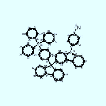 N#Cc1ccc(-n2c3ccccc3c3cc(C4(c5ccc(S(c6ccccc6)(c6ccccc6)c6ccccc6)cc5)c5ccccc5-c5ccccc54)ccc32)cc1